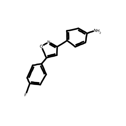 Nc1ccc(-c2cc(-c3ccc(F)cc3)on2)cc1